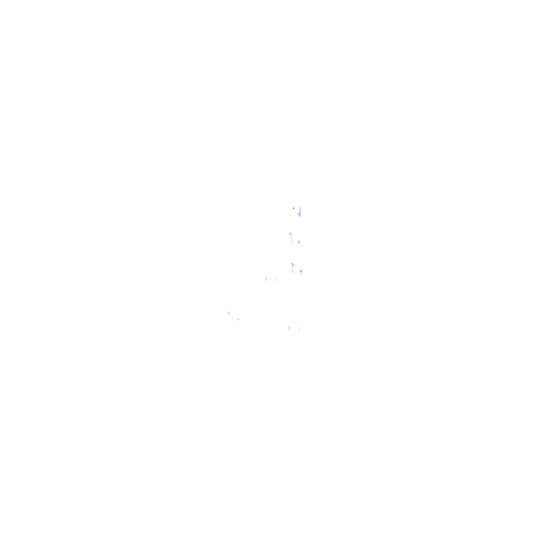 CC(=O)C(=O)ON=[N+]=[N-]